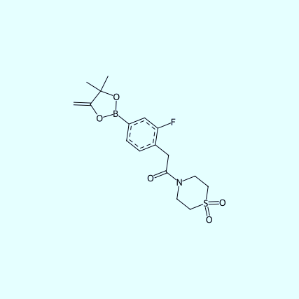 C=C1OB(c2ccc(CC(=O)N3CCS(=O)(=O)CC3)c(F)c2)OC1(C)C